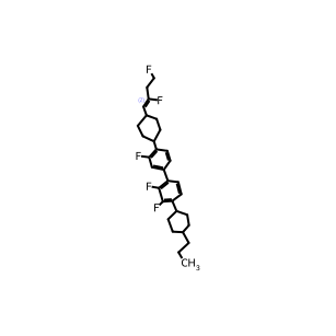 CCCC1CCC(c2ccc(-c3ccc(C4CCC(/C=C(\F)CCF)CC4)c(F)c3)c(F)c2F)CC1